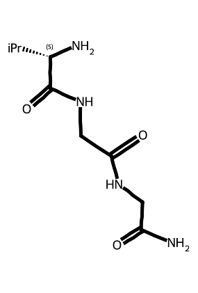 CC(C)[C@H](N)C(=O)NCC(=O)NCC(N)=O